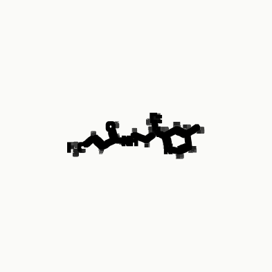 CCN(CCNC(=O)C=CC(F)(F)F)c1cc(C)ccn1